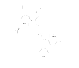 C[C@@H]1CN(c2cc(=O)n(C)c3ccc(C#N)nc23)[C@@H](C)CN1Cc1ncc(F)cc1-c1ccc(F)cc1